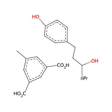 CCCC(O)CCc1ccc(O)cc1.Cc1cc(C(=O)O)cc(C(=O)O)c1